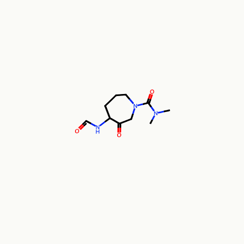 CN(C)C(=O)N1CCCC(NC=O)C(=O)C1